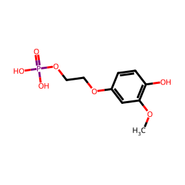 COc1cc(OCCOP(=O)(O)O)ccc1O